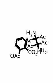 CC(=O)C(N)(C(C)=O)C(N)(C(C)=O)C(C)=O.CC(=O)Oc1ccccc1C(=O)O